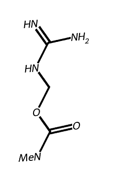 CNC(=O)OCNC(=N)N